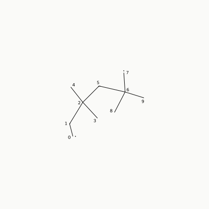 [CH2]CC(C)(C)CC([CH2])(C)C